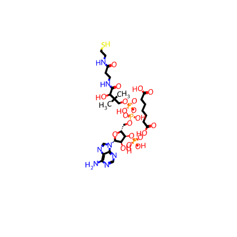 CC(C)(COP(=O)(O)OP(=O)(O)OC[C@H]1O[C@@H](n2cnc3c(N)ncnc32)[C@H](O)[C@@H]1OP(=O)(O)O)C(O)C(=O)NCCC(=O)NCCS.O=C(O)CCCCCC(=O)O